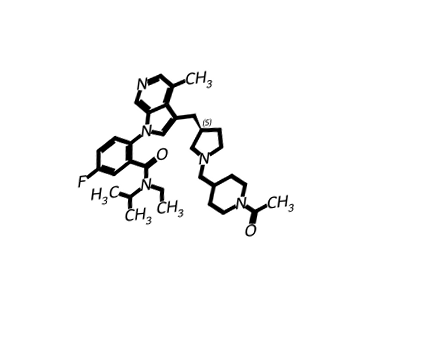 CCN(C(=O)c1cc(F)ccc1-n1cc(C[C@H]2CCN(CC3CCN(C(C)=O)CC3)C2)c2c(C)cncc21)C(C)C